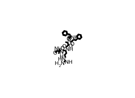 CC(NC(=O)C(Cc1ccccc1)NC(=O)Cc1ccccc1)C(=O)C(=O)NC(CCCNC(=N)N)C(=O)NC(C)(C)C(N)=O